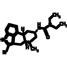 CCN(CC)C(=O)N[C@H]1C[C@@H]2c3cccc4[nH]c(Br)c(c34)C[C@H]2N(C)C1